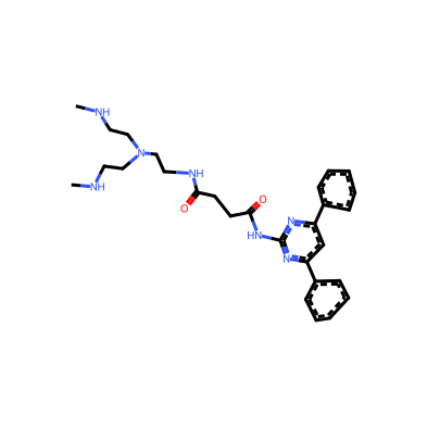 CNCCN(CCNC)CCNC(=O)CCC(=O)Nc1nc(-c2ccccc2)cc(-c2ccccc2)n1